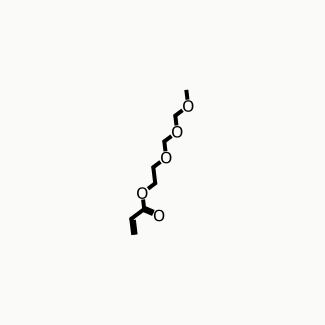 C=CC(=O)OCCOCOCOC